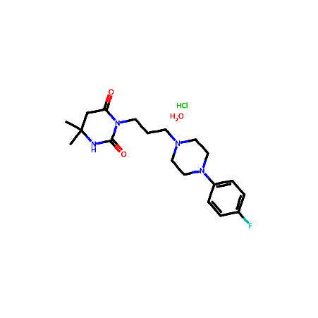 CC1(C)CC(=O)N(CCCN2CCN(c3ccc(F)cc3)CC2)C(=O)N1.Cl.O